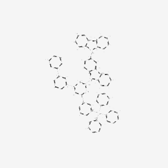 c1ccc(-c2cccc(-c3cc(-c4cccc([Si](c5ccccc5)(c5ccccc5)c5ccccc5)c4)nc(-n4c5ccccc5c5cc(-n6c7ccccc7c7ccccc76)ccc54)n3)c2)cc1